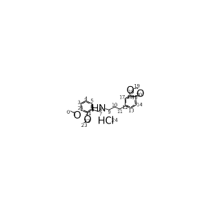 COc1cccc(CNCCCc2ccc3c(c2)OCO3)c1OC.Cl